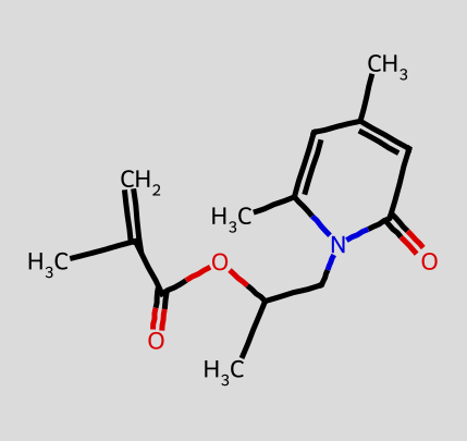 C=C(C)C(=O)OC(C)Cn1c(C)cc(C)cc1=O